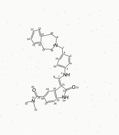 CC(Nc1ccc(CN2CCc3ccccc3CC2)cc1)=C1C(=O)Nc2ccc(C(=O)N(C)C)cc21